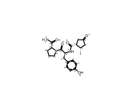 C[C@H]1CC(=O)C[C@H]1C(=O)N[C@@H](Cc1ccc(O)cc1)C(=O)N1CCC[C@H]1C(N)=O